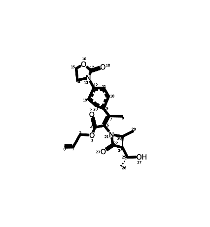 C=CCOC(=O)/C(=C(/C)c1ccc(N2CCOC2=O)cc1)N1C(=O)[C@H]([C@@H](C)O)C1C